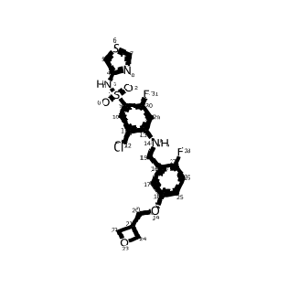 O=S(=O)(Nc1cscn1)c1cc(Cl)c(NCc2cc(OCC3COC3)ccc2F)cc1F